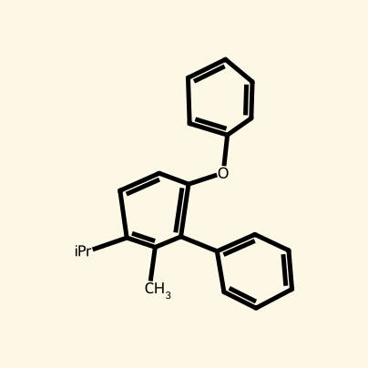 Cc1c(C(C)C)ccc(Oc2ccccc2)c1-c1ccccc1